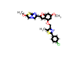 COc1cc(OCc2nc(-c3ccc(Cl)cc3)sc2C)c2cc(-c3cn4cc(OC)sc4n3)oc2c1